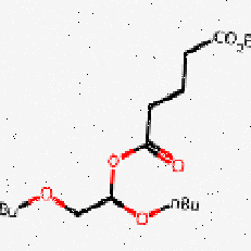 CCCCOCC(OCCCC)OC(=O)CCCC(=O)OCC